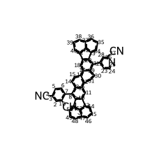 Cc1cc(C#N)ccc1-c1c2c(cc3c1ccc1c4cc5c(c(-c6ccnc(C#N)c6)c4ccc31)-c1cccc3cccc-5c13)-c1cccc3cccc-2c13